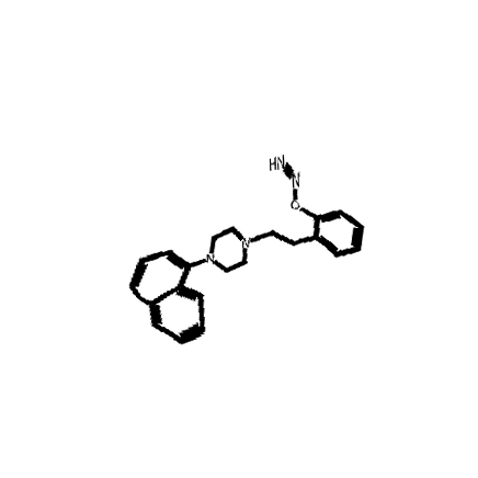 N=NOc1ccccc1CCN1CCN(c2cccc3ccccc23)CC1